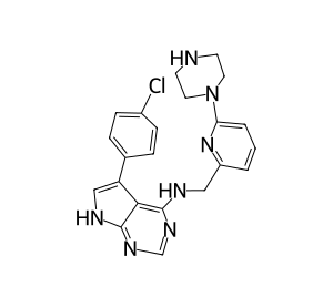 Clc1ccc(-c2c[nH]c3ncnc(NCc4cccc(N5CCNCC5)n4)c23)cc1